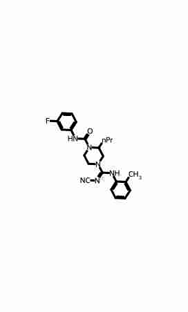 CCCC1CN(/C(=N\C#N)Nc2ccccc2C)CCN1C(=O)Nc1cccc(F)c1